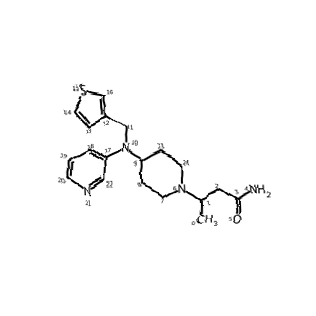 CC(CC(N)=O)N1CCC(N(Cc2ccsc2)c2cccnc2)CC1